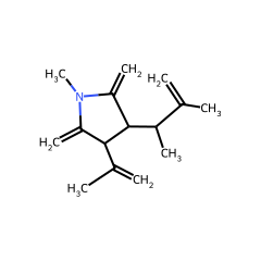 C=C(C)C(C)C1C(=C)N(C)C(=C)C1C(=C)C